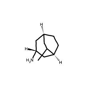 CC1C[C@@H]2CC[C@H]1C[C@H](N)C2